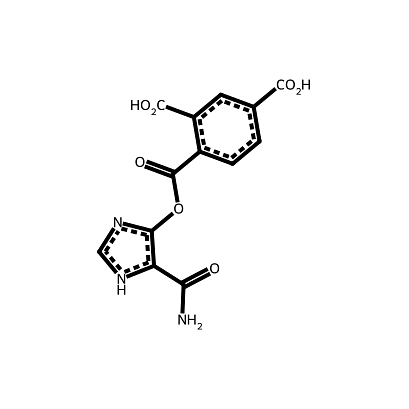 NC(=O)c1[nH]cnc1OC(=O)c1ccc(C(=O)O)cc1C(=O)O